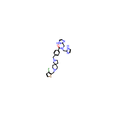 O=C(c1ccc(CN2CCC3(CCN(Cc4sccc4F)CC3)C2)cc1)N(Cc1ncc[nH]1)Cc1ncc[nH]1